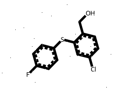 OCc1ccc(Cl)cc1Sc1ccc(F)cc1